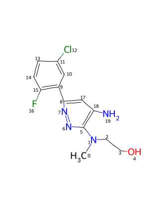 CN(CCO)c1nnc(-c2cc(Cl)ccc2F)cc1N